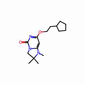 CN1c2cc(OCCC3CCCC3)nc(=O)n2CC1(C)C